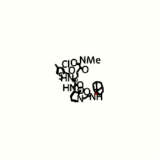 CNC(=O)C(=O)CC[C@H](NC(=O)c1scc(C)c1Cl)C(=O)Nc1cccn(CC(=O)NC2C3CC4CC(C3)CC2C4)c1=O